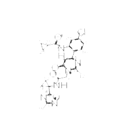 Cc1noc(C2(NC(=O)Cn3c(C)nc(-c4ccc(Cl)cc4NC(=O)C4CC4)cc3=O)CC2)n1